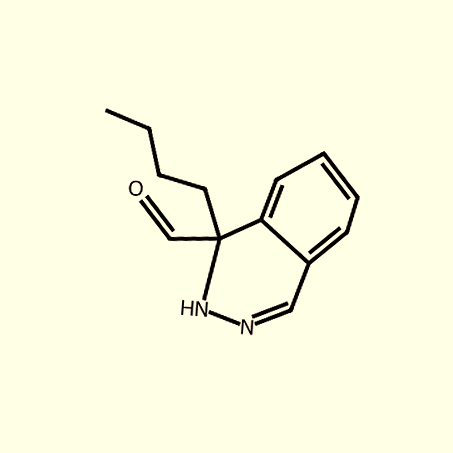 CCCCC1(C=O)NN=Cc2ccccc21